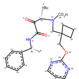 CCCC[C@@H](C(=O)C(=O)N[C@H](C)c1ccccc1)N(CC1(COc2ncccn2)CCC1)C(=O)O